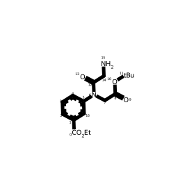 CCOC(=O)c1cccc(N(CC(=O)OC(C)(C)C)C(=O)CN)c1